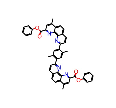 Cc1cc(-c2ccc3ccc4c(C)cc(C(=O)Oc5ccccc5)nc4c3n2)c(C)cc1-c1ccc2ccc3c(C)cc(C(=O)Oc4ccccc4)nc3c2n1